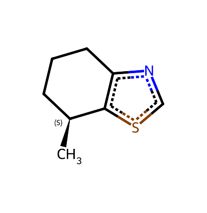 C[C@H]1CCCc2ncsc21